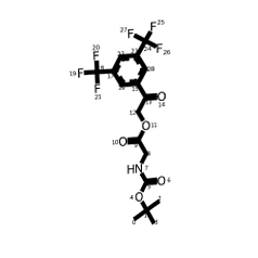 CC(C)(C)OC(=O)NCC(=O)OCC(=O)c1cc(C(F)(F)F)cc(C(F)(F)F)c1